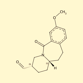 COc1ccc2c(c1)C(=O)N1C[C@@H](C=O)CC[C@H]1CC2